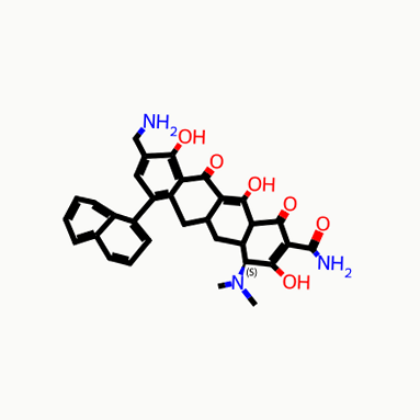 CN(C)[C@@H]1C(O)=C(C(N)=O)C(=O)C2C(O)=C3C(=O)c4c(O)c(CN)cc(-c5cccc6ccccc56)c4CC3CC21